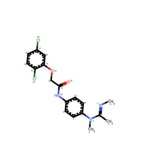 CN=C(C)N(C)c1ccc(NC(=O)COc2cc(Cl)ccc2Cl)cc1